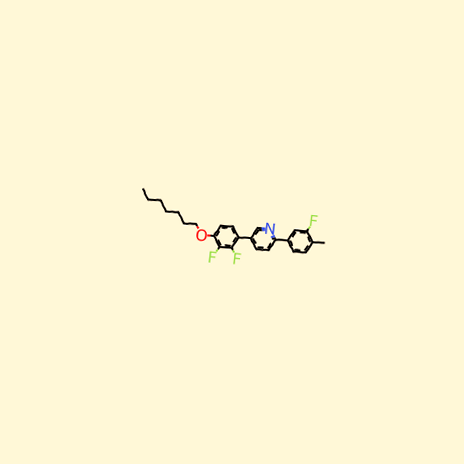 CCCCCCCOc1ccc(-c2ccc(-c3ccc(C)c(F)c3)nc2)c(F)c1F